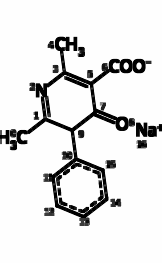 CC1=NC(C)=C(C(=O)[O-])C(=O)C1c1ccccc1.[Na+]